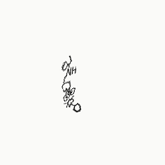 C=CC(=O)NCC1CCN(S(=O)(=O)c2sc(-c3ccccc3)nc2C)CC1